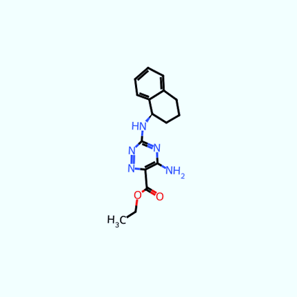 CCOC(=O)c1nnc(N[C@@H]2CCCc3ccccc32)nc1N